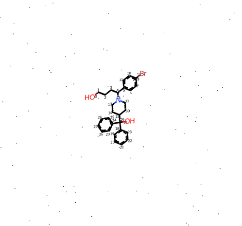 OCCCC(c1ccc(Br)cc1)N1CCC(C(O)(c2ccccc2)c2ccccc2)CC1